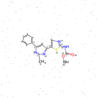 Cc1nc(-c2ccccc2)cc(-c2cnc(NC(=O)OC(C)(C)C)s2)n1